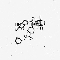 O=C(N[C@H]1C[C@H]2CC[C@@H](C1)N2S(=O)(=O)CC1CCN(C(=O)OCc2ccccc2)CC1)c1ccc2[nH]c(=O)oc2c1